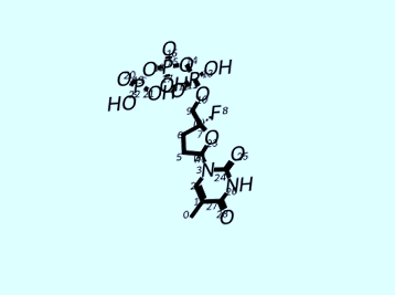 Cc1cn([C@H]2CC[C@@](F)(COP(=O)(O)OP(=O)(O)OP(=O)(O)O)O2)c(=O)[nH]c1=O